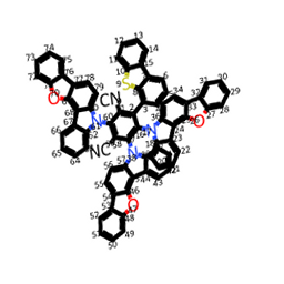 N#Cc1c(-c2cccc3c2sc2ccccc23)c(-n2c3ccccc3c3c4oc5ccccc5c4ccc32)c(-n2c3ccccc3c3c4oc5ccccc5c4ccc32)c(C#N)c1-n1c2ccccc2c2c3oc4ccccc4c3ccc21